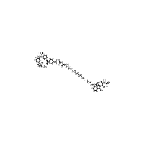 Cc1cnc(Nc2ccc(N3CCN(CC(=O)NCCOCCOCCOCCOCCOCCNc4cccc5c4C(=O)N(C4CCC(=O)NC4=O)C5=O)CC3)cc2)nc1Nc1cccc(S(=O)(=O)NC(C)(C)C)c1